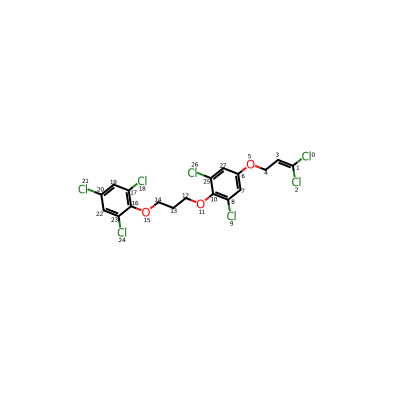 ClC(Cl)=CCOc1cc(Cl)c(OCCCOc2c(Cl)cc(Cl)cc2Cl)c(Cl)c1